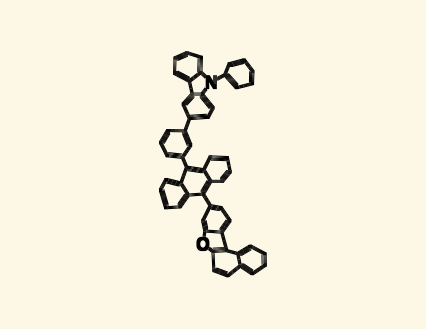 c1ccc(-n2c3ccccc3c3cc(-c4cccc(-c5c6ccccc6c(-c6ccc7c(c6)oc6ccc8ccccc8c67)c6ccccc56)c4)ccc32)cc1